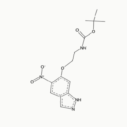 CC(C)(C)OC(=O)NCCOc1cc2[nH]ncc2cc1[N+](=O)[O-]